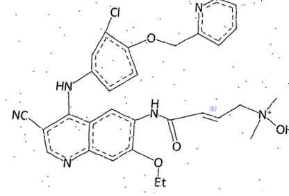 CCOc1cc2ncc(C#N)c(Nc3ccc(OCc4ccccn4)c(Cl)c3)c2cc1NC(=O)/C=C/C[N+](C)(C)O